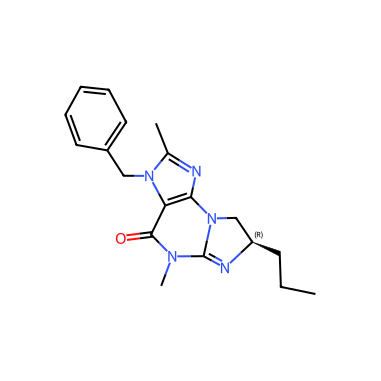 CCC[C@@H]1CN2C(=N1)N(C)C(=O)c1c2nc(C)n1Cc1ccccc1